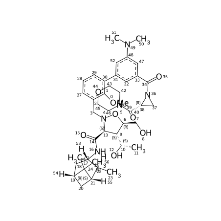 COc1c(CN2O[C@@H](CO)[C@H]([C@H](C)O)[C@H]2C(=O)N[C@H]2C[C@H]3C[C@@H]([C@@H]2C)C3(C)C)cccc1-c1cc(C(=O)N2C[C@@H]2C(=O)N2CCOCC2)cc(N(C)C)c1